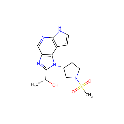 C[C@@H](O)c1nc2cnc3[nH]ccc3c2n1[C@@H]1CCN(S(C)(=O)=O)C1